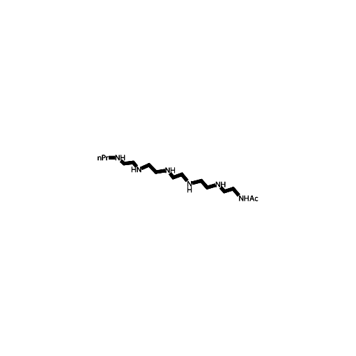 CCCNCCNCCNCCNCCNCCNC(C)=O